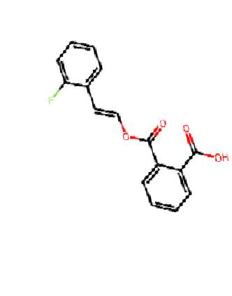 O=C(O)c1ccccc1C(=O)O/C=C/c1ccccc1F